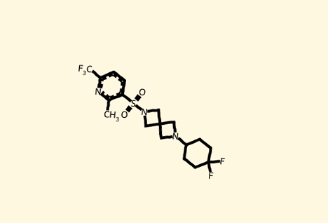 Cc1nc(C(F)(F)F)ccc1S(=O)(=O)N1CC2(CN(C3CCC(F)(F)CC3)C2)C1